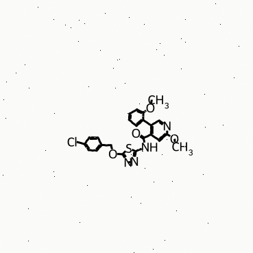 COc1cc(C(=O)Nc2nnc(OCc3ccc(Cl)cc3)s2)c(-c2ccccc2OC)cn1